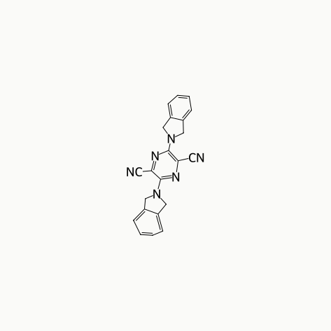 N#Cc1nc(N2Cc3ccccc3C2)c(C#N)nc1N1Cc2ccccc2C1